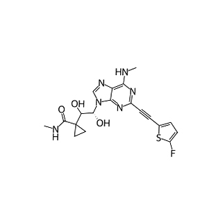 CNC(=O)C1(C(O)[C@@H](O)n2cnc3c(NC)nc(C#Cc4ccc(F)s4)nc32)CC1